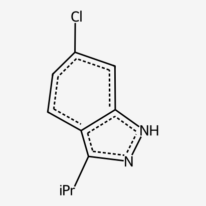 CC(C)c1n[nH]c2cc(Cl)ccc12